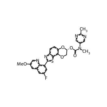 COc1cnc2c(-c3nc4ccc5c(c4s3)OC[C@@H](OC(=O)N(C)c3cnc(C)nc3)O5)cc(F)cc2c1